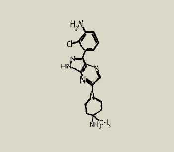 CC1(N)CCN(c2cnc3c(-c4cccc(N)c4Cl)n[nH]c3n2)CC1